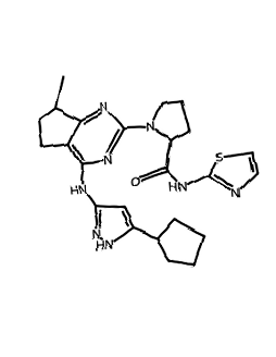 CC1CCc2c(Nc3cc(C4CCCC4)[nH]n3)nc(N3CCCC3C(=O)Nc3nccs3)nc21